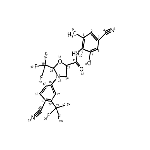 Cc1cc(C#N)cc(Cl)c1NC(=O)C1CN(c2ccc(C#N)c(C(F)(F)F)c2)C(C(F)(F)F)O1